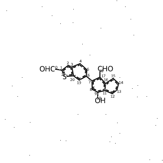 O=Cc1cc2ccc(-c3cc(O)c4ccccc4c3C=O)cc2s1